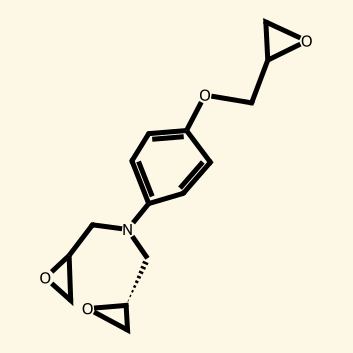 c1cc(N(CC2CO2)C[C@@H]2CO2)ccc1OCC1CO1